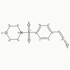 O=C=Cc1ccc(S(=O)(=O)N2CCOCC2)cc1